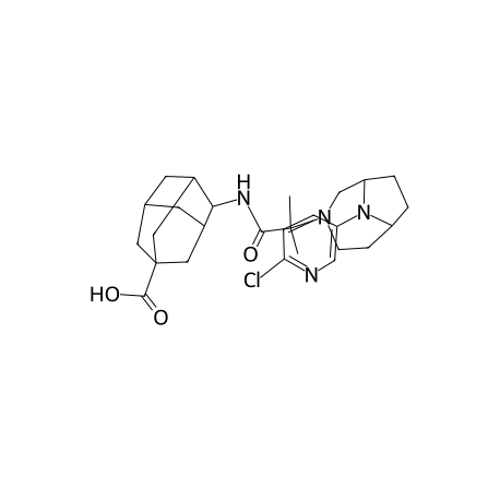 CC(C)(C(=O)NC1C2CC3CC1CC(C(=O)O)(C3)C2)N1CCC2CCC(C1)N2c1ccc(Cl)nc1